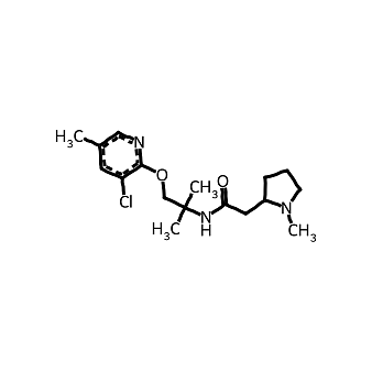 Cc1cnc(OCC(C)(C)NC(=O)CC2CCCN2C)c(Cl)c1